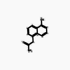 NC(=O)Cc1cccc2c(O)cccc12